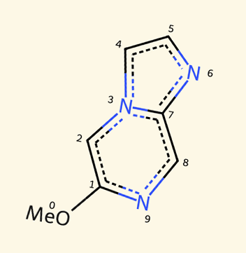 COc1cn2ccnc2cn1